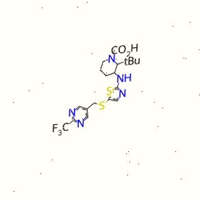 CC(C)(C)C1C(Nc2ncc(SCc3cnc(C(F)(F)F)nc3)s2)CCCN1C(=O)O